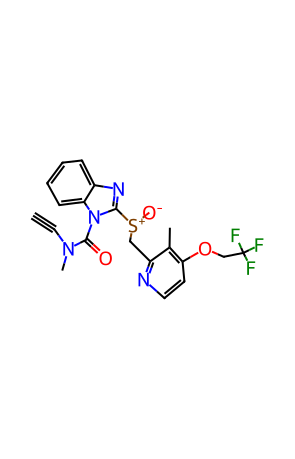 C#CN(C)C(=O)n1c([S+]([O-])Cc2nccc(OCC(F)(F)F)c2C)nc2ccccc21